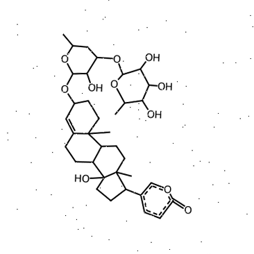 CC1CC(OC2OC(C)C(O)C(O)C2O)C(O)C(OC2C=C3CCC4C(CCC5(C)C(c6ccc(=O)oc6)CCC45O)C3(C)CC2)O1